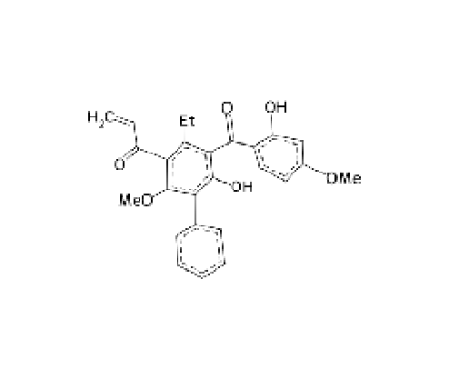 C=CC(=O)c1c(CC)c(C(=O)c2ccc(OC)cc2O)c(O)c(-c2ccccc2)c1OC